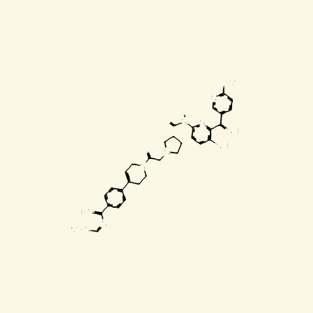 CCN(C(=O)[C@@H]1CCN(CC(=O)N2CC=C(c3ccc(C(=N)/N=C\NC)cc3)CC2)C1)c1ccc(N)c(C(=N)c2ccc(OC)nc2)n1